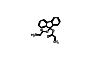 C=CC(=O)OC1(OC(=O)C=C)c2ccccc2-c2ccccc21